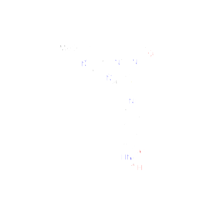 COc1ccc(-c2nc(N3CCOCC3)c3sc(NCCCCCC(=O)NO)cc3n2)cn1